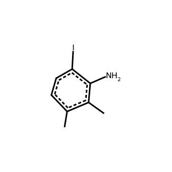 Cc1ccc(I)c(N)c1C